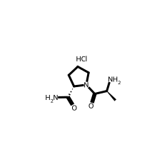 C[C@H](N)C(=O)N1CCC[C@H]1C(N)=O.Cl